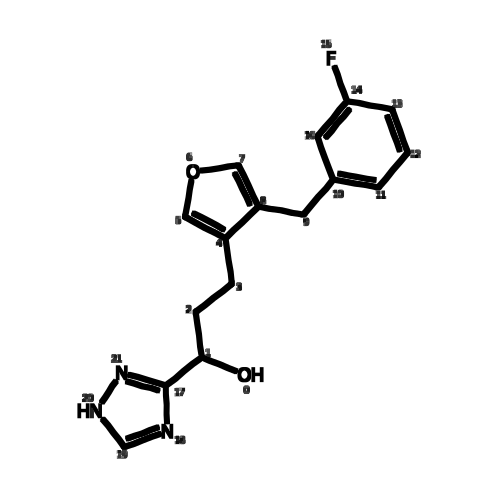 OC(CCc1cocc1Cc1cccc(F)c1)c1nc[nH]n1